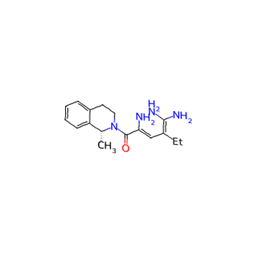 CCC(/C=C(\N)C(=O)N1CCc2ccccc2[C@H]1C)=C(N)N